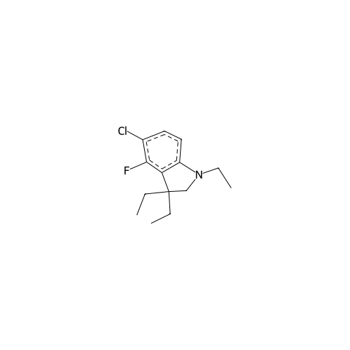 CCN1CC(CC)(CC)c2c1ccc(Cl)c2F